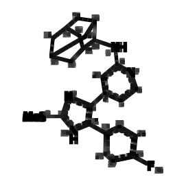 CSc1nc(-c2ccnc(NC3C4CC5CC(C4)CC3C5)c2)c(-c2ccc(F)cc2)[nH]1